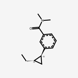 CC[C@H]1C[C@@H]1c1cccc(C(=O)N(C)C)c1